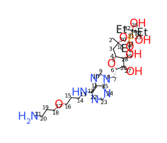 CCC(C)(CC1O[C@@H](Cn2cnc3c(NCCCOCCCN)ncnc32)[C@H](O)C1O)OP(=O)(O)C(O)(CC)CC